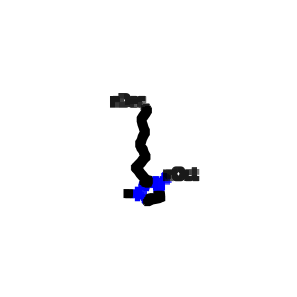 CCCCCCCCCCCCCCCCc1n(C)cc[n+]1CCCCCCCC